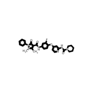 Cc1c(C(=O)Nc2ccc(Oc3ccnc(NC(=O)N4CCCCC4)c3)c(F)c2)c(=O)n(-c2ccccc2)n1C